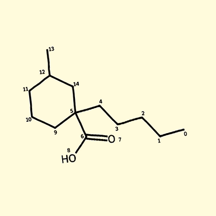 CCCCCC1(C(=O)O)CCCC(C)C1